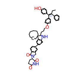 CC/C(=C(\c1ccc(O)cc1)c1ccc(OCCCC2Nc3ccc(-c4ccc5c(c4)CN(C4CCC(=O)NC4=O)C5=O)cc3C23CCCCCCCC3)cc1)c1ccccc1